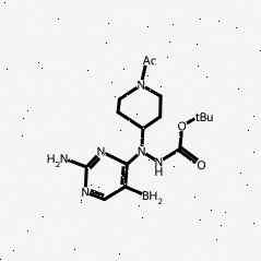 Bc1cnc(N)nc1N(NC(=O)OC(C)(C)C)C1CCN(C(C)=O)CC1